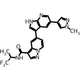 C[C@@H](NC(=O)c1cnn2ccc(-c3c[nH]c4ncc(-c5cnn(C)c5)cc34)cc12)C(F)(F)F